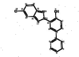 Oc1ccc(-c2ccccc2)cc1-n1nc2ccc(Cl)cc2n1